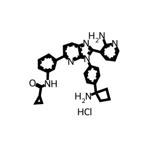 Cl.Nc1ncccc1-c1nc2ccc(-c3cccc(NC(=O)C4CC4)c3)nc2n1-c1ccc(C2(N)CCC2)cc1